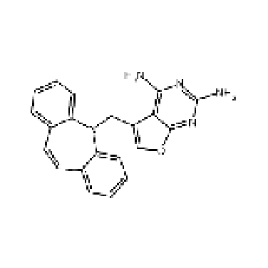 Nc1nc(N)c2c(CN3c4ccccc4C=Cc4ccccc43)coc2n1